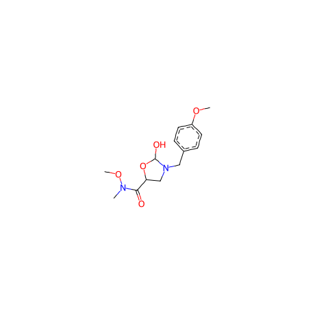 COc1ccc(CN2CC(C(=O)N(C)OC)OC2O)cc1